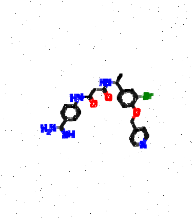 C[C@H](NC(=O)CC(=O)Nc1ccc(C(=N)N)cc1)c1ccc(OCc2ccncc2)c(Br)c1